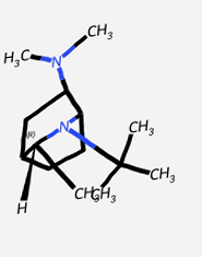 C[C@@H]1C2CCC(C(N(C)C)C2)N1C(C)(C)C